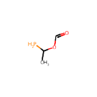 CC(P)OC=O